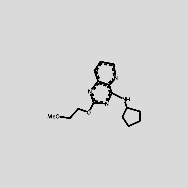 COCCOc1nc(NC2CCCC2)c2ncccc2n1